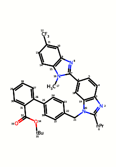 CCCc1nc2ccc(-c3nc4cc(C(F)(F)F)ccc4n3C)cc2n1Cc1ccc(-c2ccccc2C(=O)OC(C)(C)C)cc1